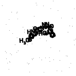 COc1ccc2c(c1)CCN(C1CCN(c3cc(C(=O)N4CC5=C(CCC=C5)C(CO)C4)ncn3)CC1)C(=O)N2